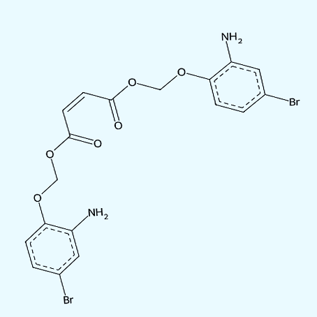 Nc1cc(Br)ccc1OCOC(=O)/C=C\C(=O)OCOc1ccc(Br)cc1N